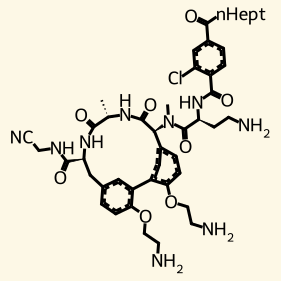 CCCCCCCC(=O)c1ccc(C(=O)N[C@@H](CCN)C(=O)N(C)[C@@H]2C(=O)N[C@@H](C)C(=O)N[C@H](C(=O)NCC#N)Cc3ccc(OCCN)c(c3)-c3cc2ccc3OCCN)c(Cl)c1